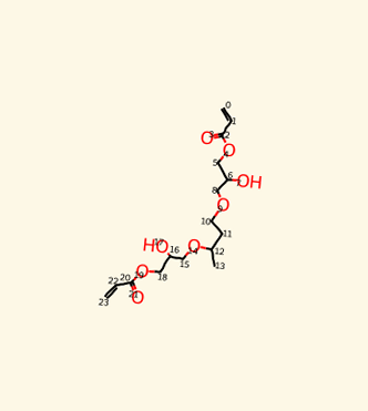 C=CC(=O)OCC(O)COCCC(C)OCC(O)COC(=O)C=C